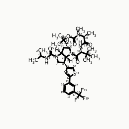 CC(C)NC(=O)N1C[C@H](c2csc(-c3cccc(C(F)(F)F)c3)n2)[C@@H]2[C@H]1CCN2C(=O)[C@@H](NC(=O)[C@H](C)N(C)C(=O)OC(C)(C)C)C(C)(C)C